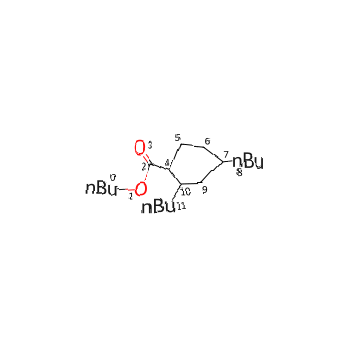 CCCCOC(=O)C1CCC(CCCC)CC1CCCC